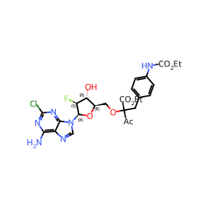 CCOC(=O)Nc1ccc(CC(OC[C@H]2O[C@@H](n3cnc4c(N)nc(Cl)nc43)[C@@H](F)[C@@H]2O)(C(C)=O)C(=O)OCC)cc1